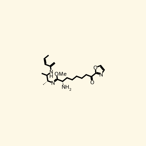 C=C(/C=C\C)NC(C)[C@@H](C)/N=C(\OC)[C@@H](N)CCCCCC(=O)c1ncco1